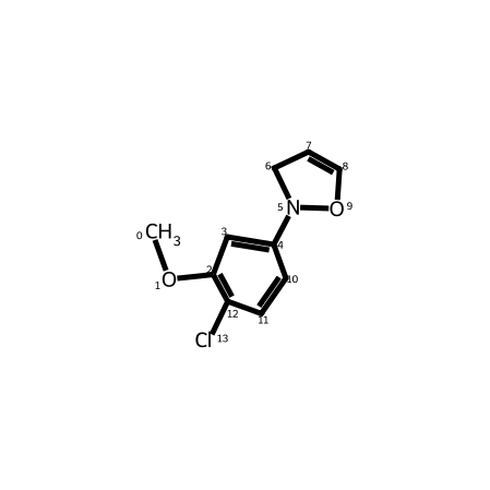 COc1cc(N2CC=CO2)ccc1Cl